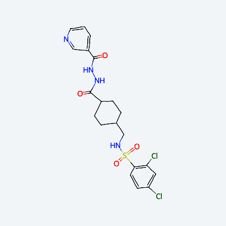 O=C(NNC(=O)C1CCC(CNS(=O)(=O)c2ccc(Cl)cc2Cl)CC1)c1cccnc1